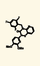 COc1ccc(N2Sc3cccnc3N(Cc3c(F)cc(F)cc3F)C2=O)nc1OC